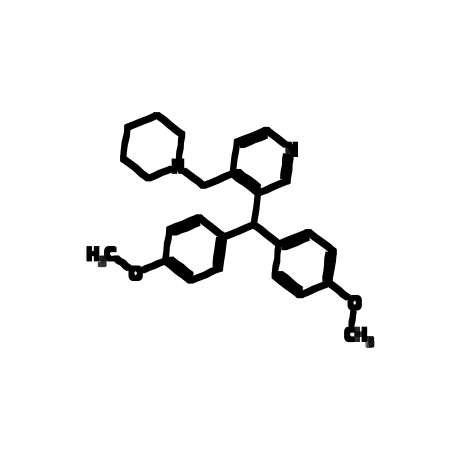 COc1ccc(C(c2ccc(OC)cc2)c2cnccc2CN2CCCCC2)cc1